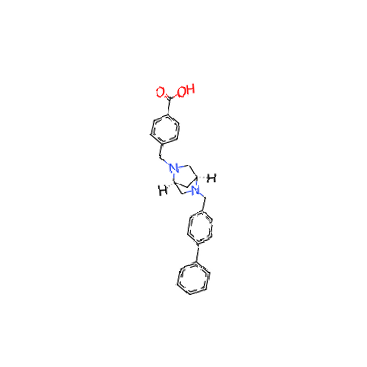 O=C(O)c1ccc(CN2C[C@@H]3C[C@H]2CN3Cc2ccc(-c3ccccc3)cc2)cc1